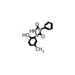 Cc1ccc(O)c(-n2[nH]c(=O)n(-c3ccccc3)c2=O)c1